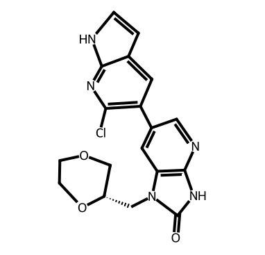 O=c1[nH]c2ncc(-c3cc4cc[nH]c4nc3Cl)cc2n1C[C@H]1COCCO1